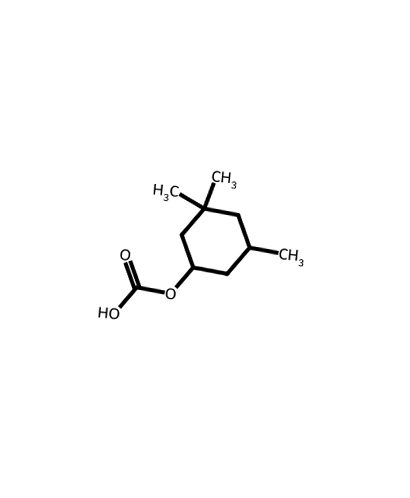 CC1CC(OC(=O)O)CC(C)(C)C1